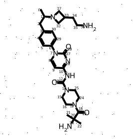 CC(Cc1ccc(-n2ccc(NC(=O)N3CCN(C(=O)C(C)(C)N)CC3)nc2=O)cc1)N1CC(CCN)C1